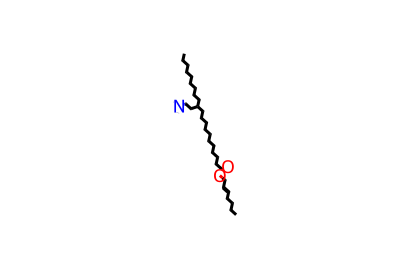 CCCCC=CCOC(=O)CCCCCCCCCCC(CCCCCCCCC)CCN(C)C